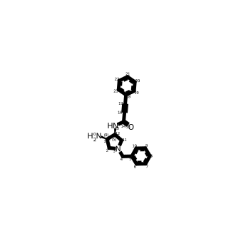 N[C@@H]1CN(Cc2ccccc2)C[C@@H]1NC(=O)C#Cc1ccccc1